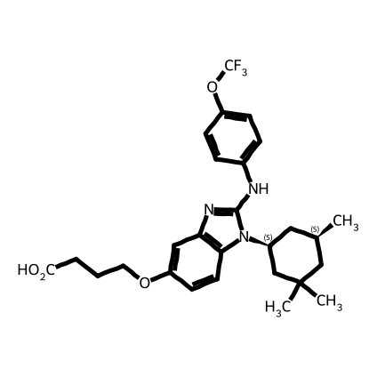 C[C@@H]1C[C@H](n2c(Nc3ccc(OC(F)(F)F)cc3)nc3cc(OCCCC(=O)O)ccc32)CC(C)(C)C1